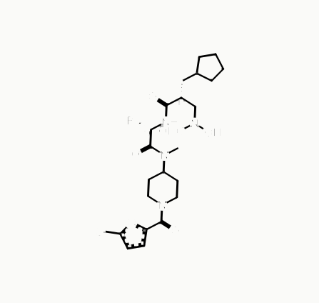 CN(C(=O)[C@@H](NC(=O)[C@H](CC1CCCC1)CN(O)C=O)C(C)(C)C)C1CCN(C(=O)c2ccc(Cl)o2)CC1